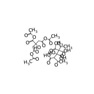 CC(=O)C(C(=O)O)C(O)(C(=O)O)C(C(C)=O)(C(C)=O)C(=O)O.CC(=O)OC(=O)CC(O)(CC(=O)OC(C)=O)C(=O)OC(C)=O